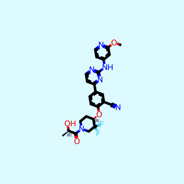 COc1cc(Nc2nccc(-c3ccc(O[C@@H]4CCN(C(=O)[C@@H](C)O)CC4(F)F)c(C#N)c3)n2)ccn1